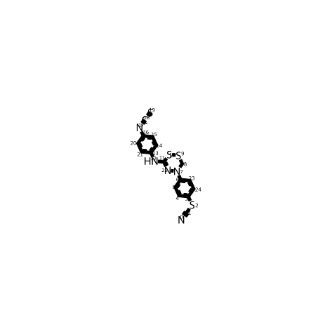 N#CSc1ccc(N2CSSC(Nc3ccc(N=C=S)cc3)=N2)cc1